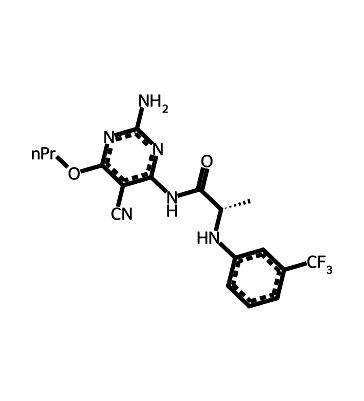 CCCOc1nc(N)nc(NC(=O)[C@H](C)Nc2cccc(C(F)(F)F)c2)c1C#N